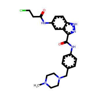 CN1CCN(Cc2ccc(NC(=O)c3n[nH]c4ccc(NC(=O)CCCl)cc34)cc2)CC1